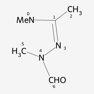 CN/C(C)=N\N(C)C=O